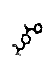 CC(O)CC1CCN(C(=O)c2ccccc2)CC1